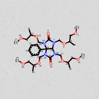 CCOCC(C)OCN1C(=O)N(COC(C)COCC)C2(c3ccccc3)C1N(COC(C)COCC)C(=O)N2COC(C)COCC